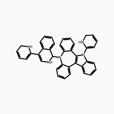 C1=CCNC(C2=CNC(N3c4ccccc4-c4c(n(C5=CC=CCN5)c5ccccc45)-c4ccccc43)c3ccccc32)=C1